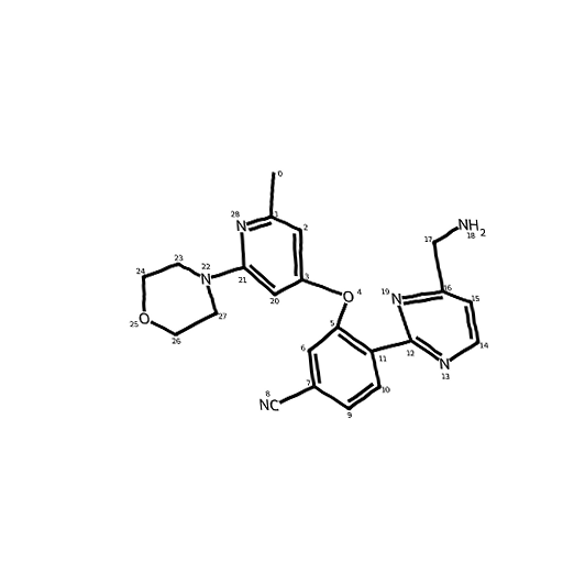 Cc1cc(Oc2cc(C#N)ccc2-c2nccc(CN)n2)cc(N2CCOCC2)n1